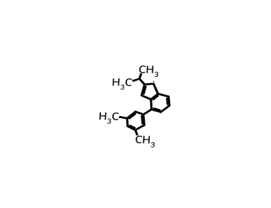 Cc1cc(C)cc(-c2cccc3c2C=C(C(C)C)[CH]3)c1